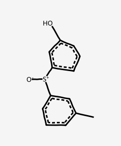 Cc1cccc([S+]([O-])c2cccc(O)c2)c1